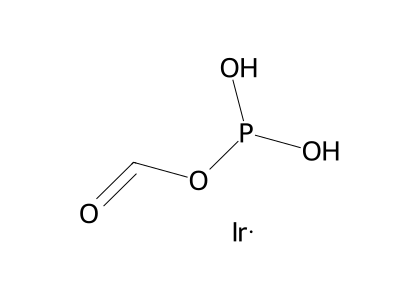 O=COP(O)O.[Ir]